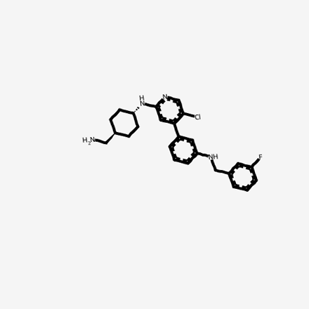 NC[C@H]1CC[C@H](Nc2cc(-c3cccc(NCc4cccc(F)c4)c3)c(Cl)cn2)CC1